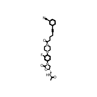 CC(=O)NC[C@H]1CN(c2ccc(N3CCN(C(=O)CCCC#Cc4cccc(C#N)c4)CC3)c(F)c2)C(=O)O1